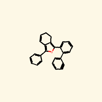 c1cccc(-c2ccccc2-c2oc(-c3ccccc3)c3c2CCC=C3)c#1